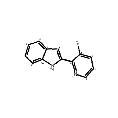 Fc1cccnc1-c1cc2ccccc2[nH]1